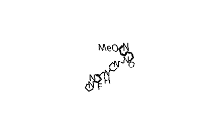 COc1cnc2ccc(=O)n(CCN3CCC(NCc4cnc(N5CCCC5)c(F)c4)CC3)c2c1